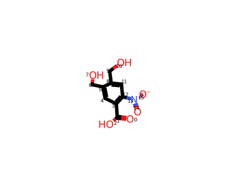 O=C(O)c1cc(CO)c(CO)cc1[N+](=O)[O-]